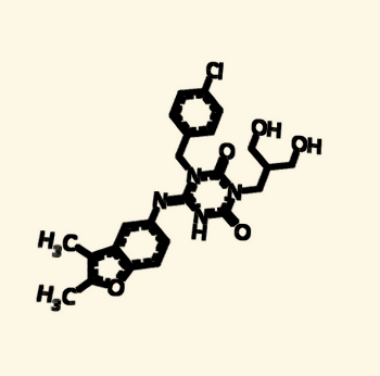 Cc1oc2ccc(/N=c3\[nH]c(=O)n(CC(CO)CO)c(=O)n3Cc3ccc(Cl)cc3)cc2c1C